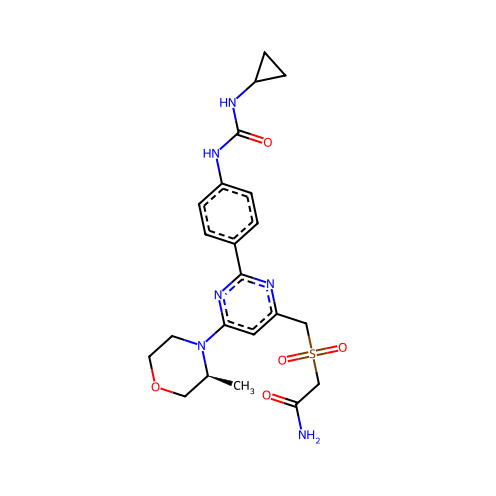 C[C@H]1COCCN1c1cc(CS(=O)(=O)CC(N)=O)nc(-c2ccc(NC(=O)NC3CC3)cc2)n1